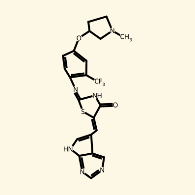 CN1CCC(Oc2ccc(N=C3NC(=O)C(=Cc4c[nH]c5ncncc45)S3)c(C(F)(F)F)c2)C1